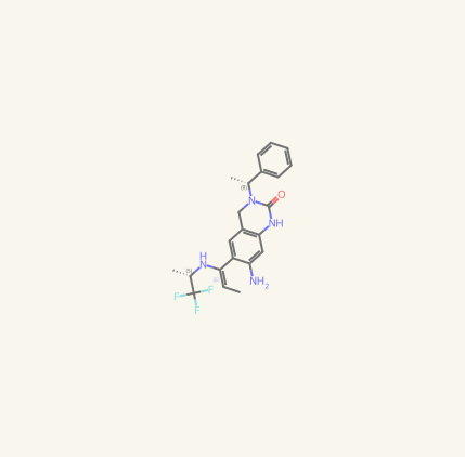 C/C=C(/N[C@@H](C)C(F)(F)F)c1cc2c(cc1N)NC(=O)N([C@H](C)c1ccccc1)C2